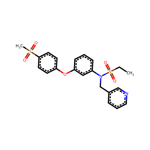 CCS(=O)(=O)N(Cc1cccnc1)c1cccc(Oc2ccc(S(C)(=O)=O)cc2)c1